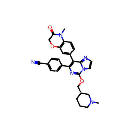 CN1CCC[C@@H](COc2nc(-c3ccc(C#N)cc3)c(-c3ccc4c(c3)OCC(=O)N4C)c3nccn23)C1